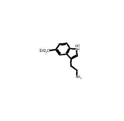 CCOC(=O)c1ccc2[nH]cc(CCN)c2c1.Cl